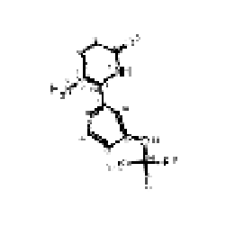 N[C@H]1CCC(=O)N[C@H]1c1cccc(OC(F)(F)F)c1